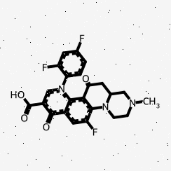 CN1CCN2c3c(F)cc4c(=O)c(C(=O)O)cn(-c5ccc(F)cc5F)c4c3C(=O)CC2C1